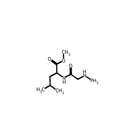 COC(=O)C(CC(C)C)NC(=O)CNP